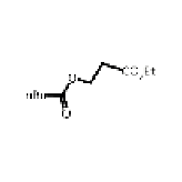 CCCCC(=O)OCCC(=O)OCC